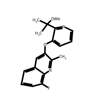 COC(C)(C)c1ncccc1Oc1cc2cccc(F)c2nc1C